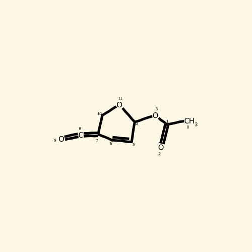 CC(=O)OC1C=CC(=C=O)CO1